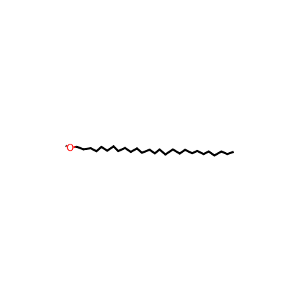 CCCCCCCCCCCCCCCCCCCCCCCCCCCOC